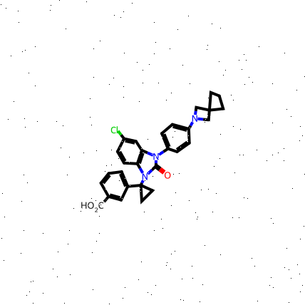 O=C(O)c1cccc(C2(n3c(=O)n(-c4ccc(N5CC6(CCC6)C5)cc4)c4cc(Cl)ccc43)CC2)c1